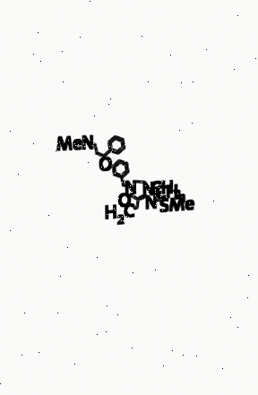 C=CC1=C(/N=C(\C)SC)N(C)CCN(Cc2cccc(OC(CCNC)c3ccccc3)c2)C1=O